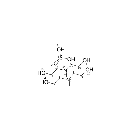 O=S(O)O.OCCNCCO.OCCNCCO